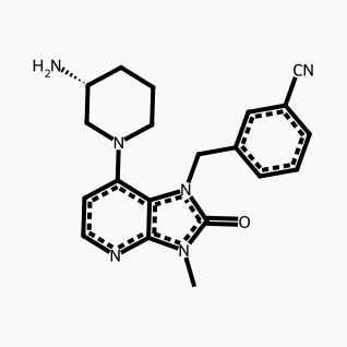 Cn1c(=O)n(Cc2cccc(C#N)c2)c2c(N3CCC[C@@H](N)C3)ccnc21